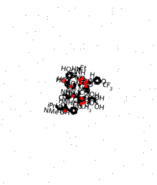 CCNNC(=O)[C@@H]1NC(=O)[C@H]2NC(=O)[C@H](NC(=O)[C@@H]3NC(=O)[C@H](CC(N)=O)NC(=O)[C@H](NC(=O)[C@@H](CC(C)C)NC)[C@H](O)c4ccc(c(Cl)c4)Oc4cc3cc(c4O[C@@H]3O[C@H](CO)[C@@H](O)[C@H](O)[C@H]3O[C@H]3C[C@](C)(NCCN4CCN(NC(=O)Nc5ccc(OC(F)(F)F)cc5)CC4)[C@H](O)[C@H](C)O3)Oc3ccc(cc3Cl)[C@H]2O)c2ccc(O)c(c2)-c2c(O)cc(O)cc21